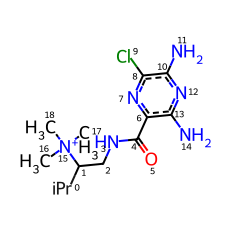 CC(C)C(CNC(=O)c1nc(Cl)c(N)nc1N)[N+](C)(C)C